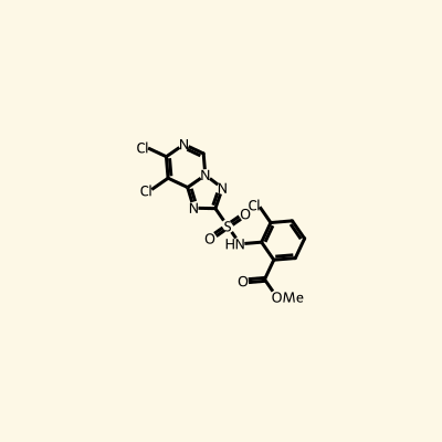 COC(=O)c1cccc(Cl)c1NS(=O)(=O)c1nc2c(Cl)c(Cl)ncn2n1